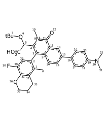 Cc1c(-c2c(C(OC(C)(C)C)C(=O)O)n(C)c(=O)c3cc(-c4ccc(N(C)C)cc4)ccc23)cc(F)c2c1CCCO2